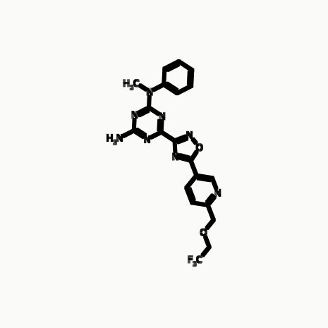 CN(c1ccccc1)c1nc(N)nc(-c2noc(-c3ccc(COCC(F)(F)F)nc3)n2)n1